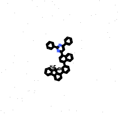 CC1(C)c2ccccc2-c2cccc(-c3cccc(-c4ccc(-c5cc(-c6ccccc6)nc(-c6ccccc6)n5)c5ccccc45)c3)c21